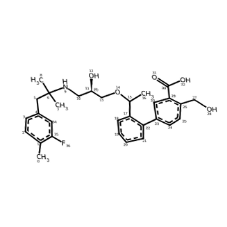 Cc1ccc(CC(C)(C)NC[C@@H](O)COC(C)c2ccccc2-c2ccc(CO)c(C(=O)O)c2)cc1F